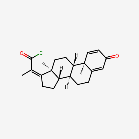 C/C(C(=O)Cl)=C1\CC[C@H]2[C@@H]3CCC4=CC(=O)C=C[C@]4(C)[C@H]3CC[C@]12C